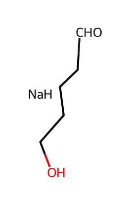 O=CCCCCO.[NaH]